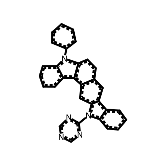 c1ccc(-n2c3ccccc3c3c4cc5c(cc4ccc32)c2ccccc2n5-c2ncncn2)cc1